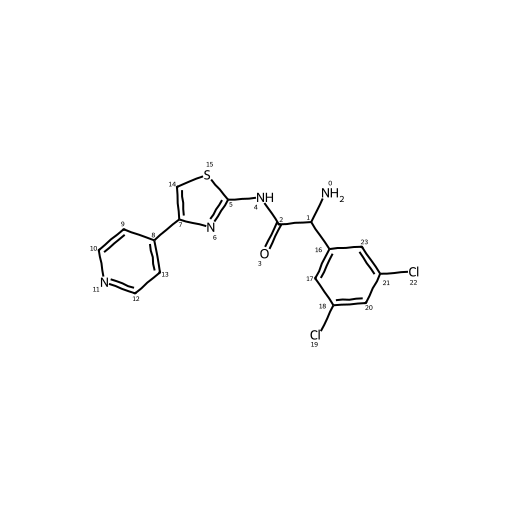 NC(C(=O)Nc1nc(-c2ccncc2)cs1)c1cc(Cl)cc(Cl)c1